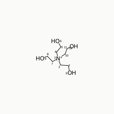 OCC[N+](CCO)(CCO)CCO